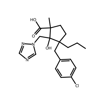 CCCC1(Cc2ccc(Cl)cc2)CCC(C)(C(=O)O)C1(O)Cn1cncn1